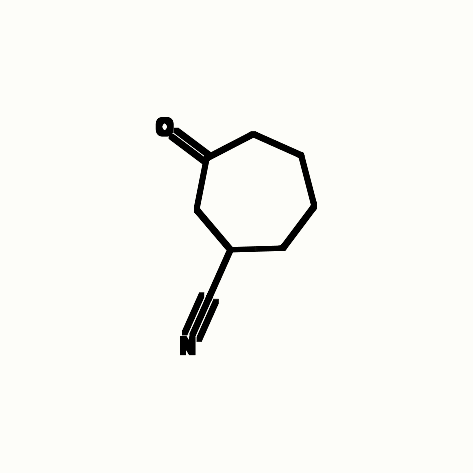 N#CC1CCCCC(=O)C1